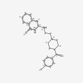 O=C(c1ccc(F)cc1)C1CCN(CCNc2nc3ccccc3c(=O)[nH]2)CC1